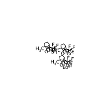 CC12CCC(/C(=C(/[O-])C(F)(F)F)C1=O)C2(C)C.CC12CCC(/C(=C(/[O-])C(F)(F)F)C1=O)C2(C)C.CC12CCC(/C(=C(/[O-])C(F)(F)F)C1=O)C2(C)C.[Eu+3]